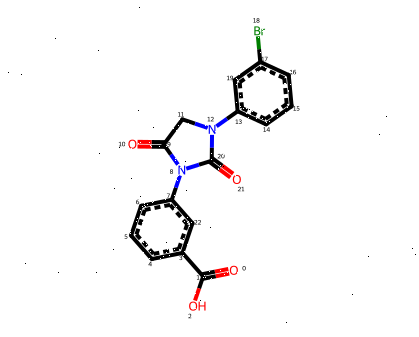 O=C(O)c1cccc(N2C(=O)CN(c3cccc(Br)c3)C2=O)c1